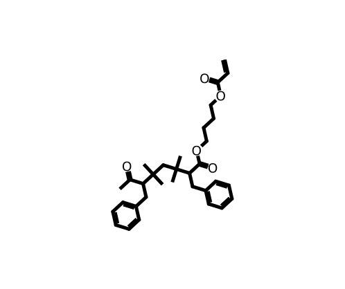 C=CC(=O)OCCCCOC(=O)C(Cc1ccccc1)C(C)(C)CC(C)(C)C(Cc1ccccc1)C(C)=O